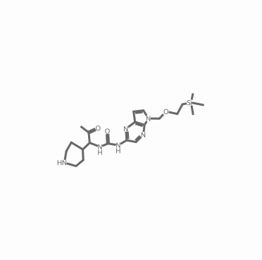 CC(=O)C(NC(=O)Nc1cnc2c(ccn2COCC[Si](C)(C)C)n1)C1CCNCC1